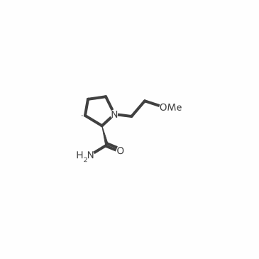 COCCN1CC[CH][C@@H]1C(N)=O